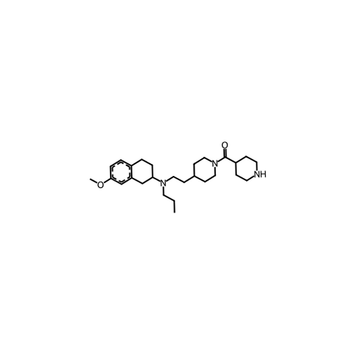 CCCN(CCC1CCN(C(=O)C2CCNCC2)CC1)C1CCc2ccc(OC)cc2C1